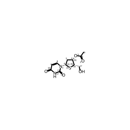 CC(=O)O[C@H]1C[C@@H](n2ccc(=O)[nH]c2=O)S[C@H]1CO